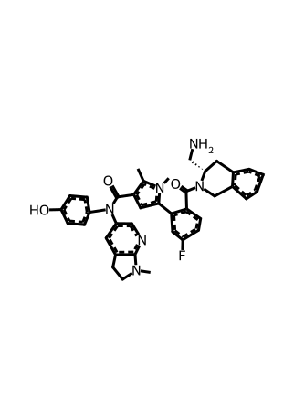 Cc1c(C(=O)N(c2ccc(O)cc2)c2cnc3c(c2)CCN3C)cc(-c2cc(F)ccc2C(=O)N2Cc3ccccc3C[C@H]2CN)n1C